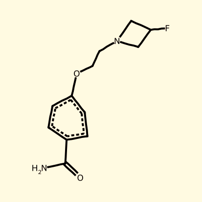 NC(=O)c1ccc(OCCN2CC(F)C2)cc1